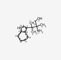 CC(N)(CO)C(C)(C)c1c[nH]c2ccccc12